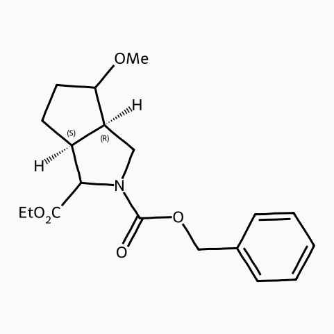 CCOC(=O)C1[C@H]2CCC(OC)[C@H]2CN1C(=O)OCc1ccccc1